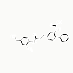 Cc1cc(CO)ccc1NC(=O)CCc1ccc(-c2ccccc2)c(NC(=O)O)c1